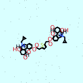 O=C(Cc1ccc(CC(=O)Oc2ccc3c4c2O[C@H]2C(=O)CC[C@@]5(O)[C@@H](C3)N(CC3CC3)CC[C@]425)s1)Oc1ccc2c3c1O[C@H]1C(=O)CC[C@@]4(O)[C@@H](C2)N(CC2CC2)CC[C@]314